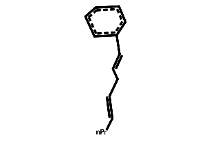 [CH2]CCC=CCC=Cc1ccccc1